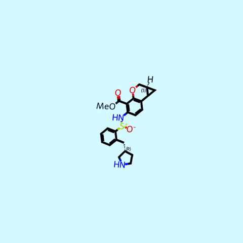 COC(=O)c1c(N[S+]([O-])c2ccccc2C[C@@H]2CCNC2)ccc2c1OC[C@H]1CC21